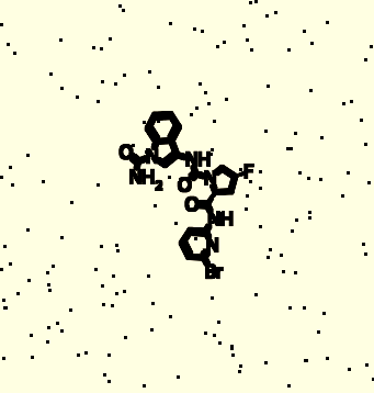 NC(=O)n1cc(NC(=O)N2C[C@H](F)C[C@H]2C(=O)Nc2cccc(Br)n2)c2ccccc21